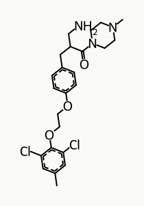 Cc1cc(Cl)c(OCCOc2ccc(CC(CN)C(=O)N3CCN(C)CC3)cc2)c(Cl)c1